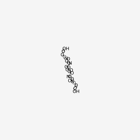 O=C(OC(=O)c1cncc(OC(=O)N2CCC(Oc3ccc(O)cc3)CC2)c1)C(=O)OC(=O)c1cncc(OC(=O)N2CCC(Oc3ccc(O)cc3)CC2)c1